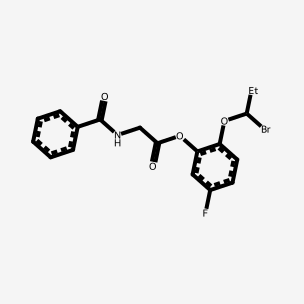 CCC(Br)Oc1ccc(F)cc1OC(=O)CNC(=O)c1ccccc1